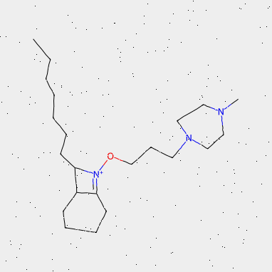 CCCCCCCC1C2CCCCC2=[N+]1OCCCN1CCN(C)CC1